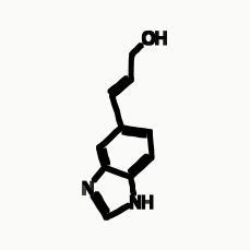 OC/C=C/c1ccc2[nH]cnc2c1